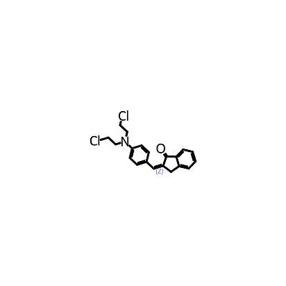 O=C1/C(=C\c2ccc(N(CCCl)CCCl)cc2)Cc2ccccc21